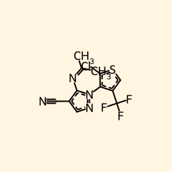 CC(C)=Nc1c(C#N)cnn1-c1c(C(F)(F)F)csc1Cl